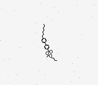 CCCCCCCc1ccc(-c2ccc(C(=O)OC(C)OCCCC)cc2)cc1